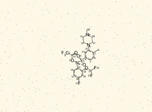 Cc1ccc(S(=O)(=O)N(OC(=O)C(F)(F)F)c2ccc(F)cc2OC(F)F)cc1N1CCN(C)CC1